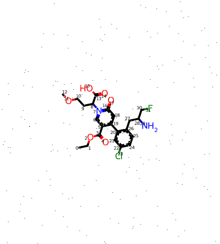 CCOC(=O)c1cn(C(CCOC)C(=O)O)c(=O)cc1-c1cc(Cl)ccc1CC(N)CF